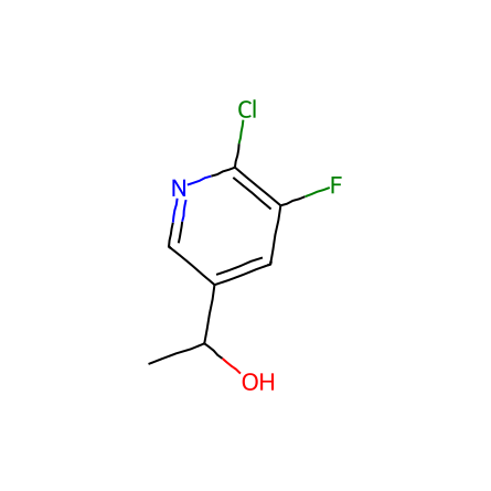 CC(O)c1cnc(Cl)c(F)c1